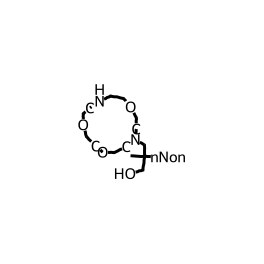 CCCCCCCCCC(C)(CO)CN1CCOCCNCCOCCOCC1